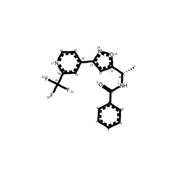 C[C@H](NC(=O)c1ccccc1)c1cc(-c2ccnc(C(F)(F)F)c2)no1